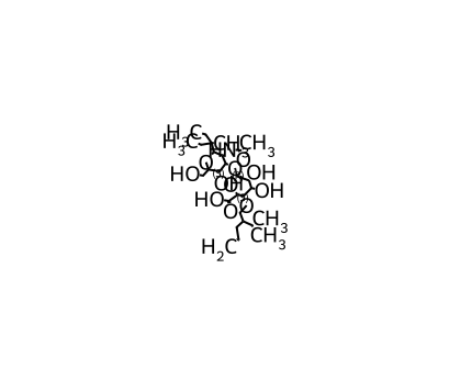 C=CCC(CO[C@@H]1C(C(=O)O)O[C@@H](OC2C(NC(C)=O)C(C(C)(CC)CC)OC(CO)[C@H]2O)C(O)C1O)C(C)C